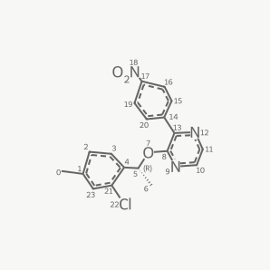 Cc1ccc([C@@H](C)Oc2nccnc2-c2ccc([N+](=O)[O-])cc2)c(Cl)c1